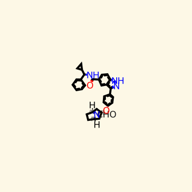 O=CN1[C@@H]2CC[C@H]1C[C@H](Oc1ccc(-c3n[nH]c4ccc(C(=O)NC(c5ccccc5)C5CC5)cc34)cc1)C2